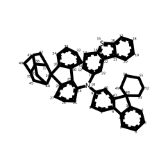 c1ccc2c(c1)-c1ccc(N(c3ccc4sc5ccccc5c4c3)c3cccc4c3-c3ccccc3C43C4CC5CC(C4)CC3C5)cc1C21CCCCC1